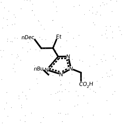 CCCCC.CCCCCCCCCCCC(CC)c1nnn(CC(=O)O)n1